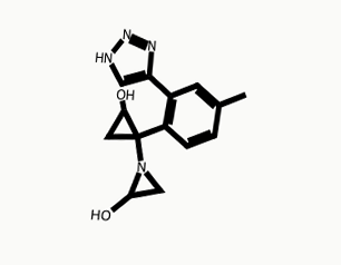 Cc1ccc(C2(N3CC3O)CC2O)c(-c2c[nH]nn2)c1